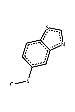 ClSc1ccc2scnc2c1